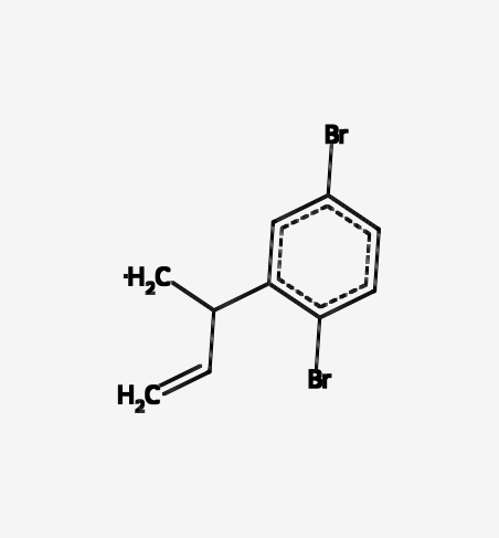 [CH2]C(C=C)c1cc(Br)ccc1Br